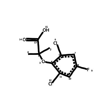 CC(C)(Oc1c(Cl)cc(F)cc1Cl)C(=O)O